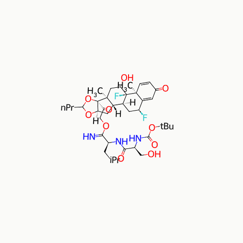 CCCC1O[C@@H]2C[C@H]3[C@@H]4C[C@H](F)C5=CC(=O)C=C[C@]5(C)[C@@]4(F)[C@@H](O)C[C@]3(C)[C@]2(C(=O)COC(=N)[C@H](CC(C)C)NC(=O)[C@H](CO)NC(=O)OC(C)(C)C)O1